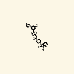 O=C(Cc1nnc(-c2cc(Cl)cc(-n3ccnc3)c2)o1)N1CCC(n2c(=O)[nH]c3ncccc32)CC1